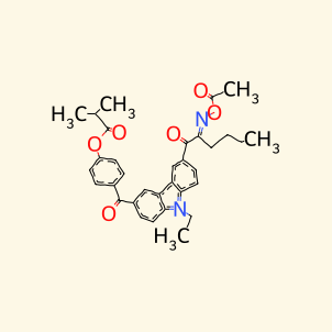 CCCC/C(=N\OC(C)=O)C(=O)c1ccc2c(c1)c1cc(C(=O)c3ccc(OC(=O)C(C)C)cc3)ccc1n2CC